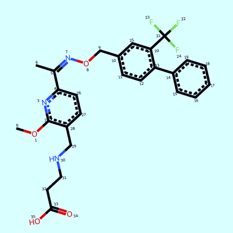 COc1nc(/C(C)=N\OCc2ccc(-c3ccccc3)c(C(F)(F)F)c2)ccc1CNCCC(=O)O